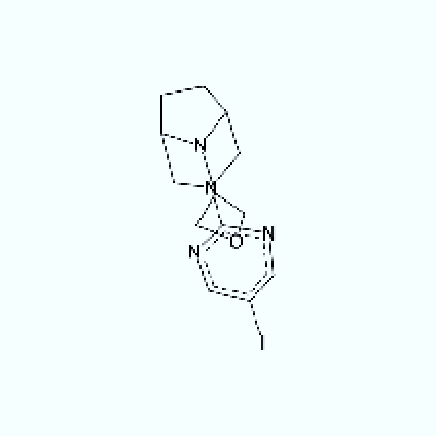 Ic1cnc(N2CC3CCC(C2)N3C2COC2)nc1